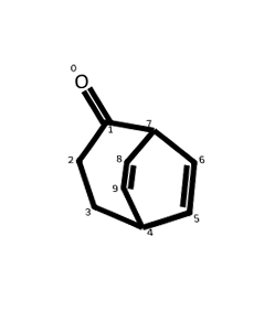 O=C1CCC2C=CC1C=C2